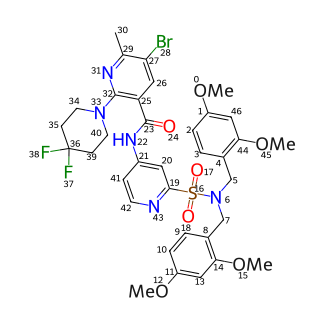 COc1ccc(CN(Cc2ccc(OC)cc2OC)S(=O)(=O)c2cc(NC(=O)c3cc(Br)c(C)nc3N3CCC(F)(F)CC3)ccn2)c(OC)c1